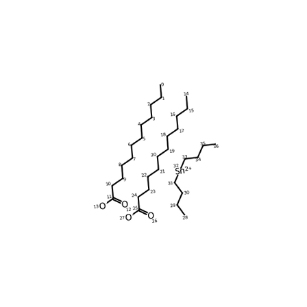 CCCCCCCCCCCC(=O)[O-].CCCCCCCCCCCC(=O)[O-].CCC[CH2][Sn+2][CH2]CCC